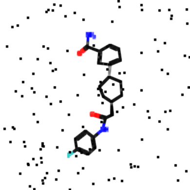 NC(=O)c1cccc([C@H]2CC[C@H](CC(=O)Nc3ccc(F)cc3)CC2)c1